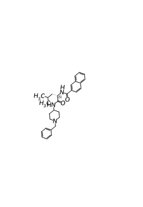 CC(C)C[C@H](NC(=O)c1ccc2ccccc2c1)C(=O)NC1CCN(Cc2ccccc2)CC1